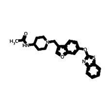 CC(=O)NC1CCN(Cc2coc3cc(Oc4nc5ccccc5s4)ccc23)CC1